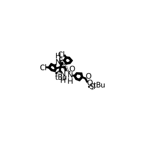 CC(C)(C)C[C@@H]1N[C@@H](C(=O)Nc2ccc(C(=O)CO[Si](C)(C)C(C)(C)C)cc2)[C@@H](c2cccc(Cl)c2F)C12C(=O)Nc1cc(Cl)ccc12